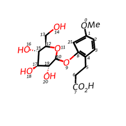 COc1ccc(CCC(=O)O)c(OC2O[C@H](CO)[C@@H](O)[C@H](O)[C@H]2O)c1